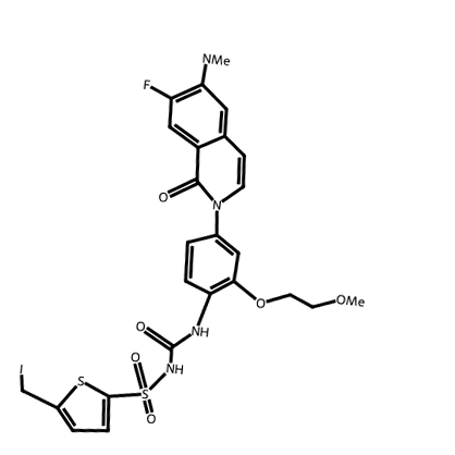 CNc1cc2ccn(-c3ccc(NC(=O)NS(=O)(=O)c4ccc(CI)s4)c(OCCOC)c3)c(=O)c2cc1F